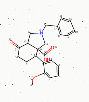 COc1ccccc1C1CCC(=O)C2CN(Cc3ccccc3)CC21C(=O)O